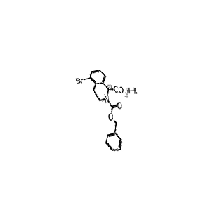 O=C(O)[C@@H]1c2cccc(Br)c2CCN1C(=O)OCc1ccccc1